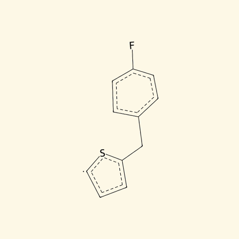 Fc1ccc(Cc2cc[c]s2)cc1